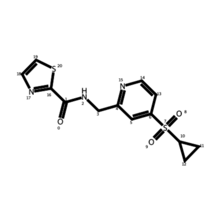 O=C(NCc1cc(S(=O)(=O)C2CC2)ccn1)c1nccs1